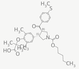 CCCCCOC(=O)N1C[C@H](C(=O)c2ccc(SC)cc2)[C@@H](c2cc(C)c(OC(C)(C)C(=O)O)c(C)c2)C1